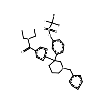 CCN(CC)C(=O)c1ccc(C2(c3cccc(OS(=O)(=O)C(F)(F)F)c3)CCCN(Cc3ccccc3)C2)cc1